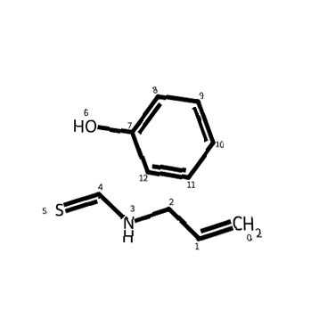 C=CCN[C]=S.Oc1ccccc1